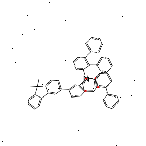 CC1(C)c2ccccc2-c2cc(-c3cccc(N(c4cccc(-c5ccccc5)c4)c4cccc(-c5ccccc5)c4-c4ccccc4-c4ccccc4)c3)ccc21